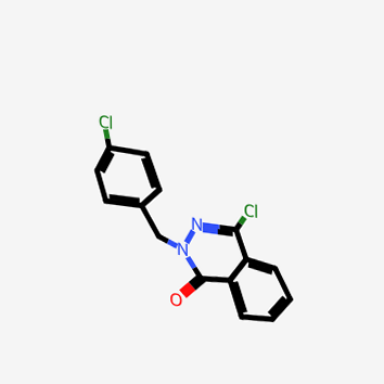 O=c1c2ccccc2c(Cl)nn1Cc1ccc(Cl)cc1